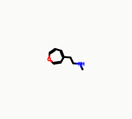 CNCCC1=CC=COC=C1